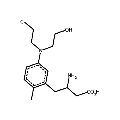 Cc1ccc(N(CCO)CCCl)cc1CC(N)CC(=O)O